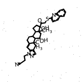 CC12Cc3cnn(CCC#N)c3C=C1CCC1C2[C@@H](O)CC2(C)C1CCC2(O)C(=O)CSc1ccc2ccccc2n1